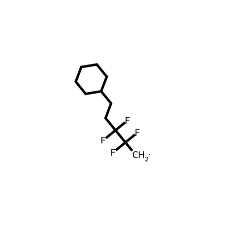 [CH2]C(F)(F)C(F)(F)CCC1CCCCC1